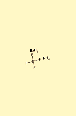 F[B-](F)(F)F.[BaH2].[NH4+]